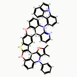 Cc1oc2c(c1C)N(c1ccccc1)c1cccc3c1B2c1c(sc2cc4c(cc12)B1c2cccnc2N(c2cccc5c2c2cccc6ccn5c62)c2cccc(c21)O4)O3